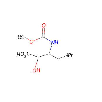 CC(C)CC(NC(=O)OC(C)(C)C)C(O)C(=O)O